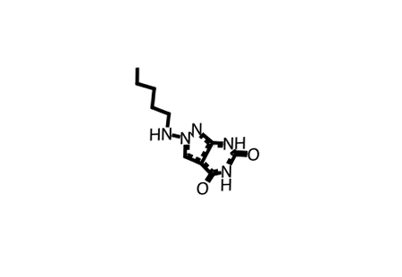 CCCCCNn1cc2c(=O)[nH]c(=O)[nH]c2n1